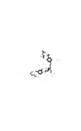 C=C1C[C@H]2C(S(=O)(=O)O)Nc3cc(OCCP(=O)(CCOc4cc5c(cc4OC)C(=O)N4CC(=C)C[C@H]4C(S(=O)(=O)O)N5)CCS(C)=S)c(OC)cc3C(=O)N2C1